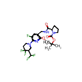 COc1nc(N2CCC(F)(F)C(C(F)F)C2)c(F)cc1CNC(=O)C1CCCN1C(=O)OC(C)(C)C